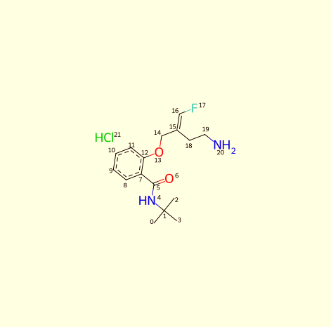 CC(C)(C)NC(=O)c1ccccc1OC/C(=C/F)CCN.Cl